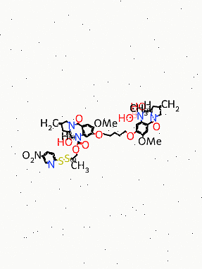 C=C1C[C@H]2[C@H](O)N(B(C)O)c3cc(OCCCCCOc4cc5c(cc4OC)C(=O)N4CC(=C)C[C@H]4[C@H](O)N5C(=O)OC[C@H](C)SSc4ccc([N+](=O)[O-])cn4)c(OC)cc3C(=O)N2C1